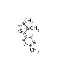 Cc1ccc(C2SCC(C)N2C)cn1